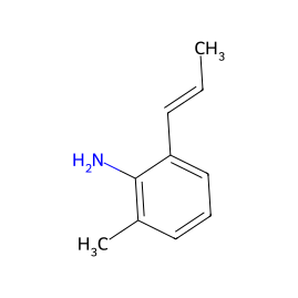 CC=Cc1cccc(C)c1N